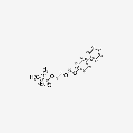 CCC(C)(C)C(=O)OCCOCOc1ccc(-c2ccccc2)cc1